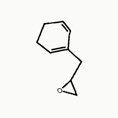 C1=CC(CC2CO2)=CCC1